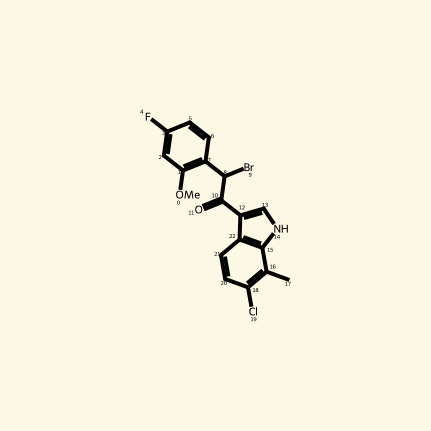 COc1cc(F)ccc1C(Br)C(=O)c1c[nH]c2c(C)c(Cl)ccc12